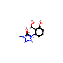 Cn1nnn(-c2cccc(O)c2CO)c1=O